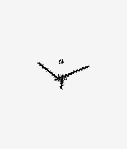 CCCCCCCCCCCCCCCCCC(=O)[NH][Ti+2]([NH]C(=O)C(CC)CCCCCCCCCCCCCCCC)[O]CCCCCC.[Cl-].[Cl-]